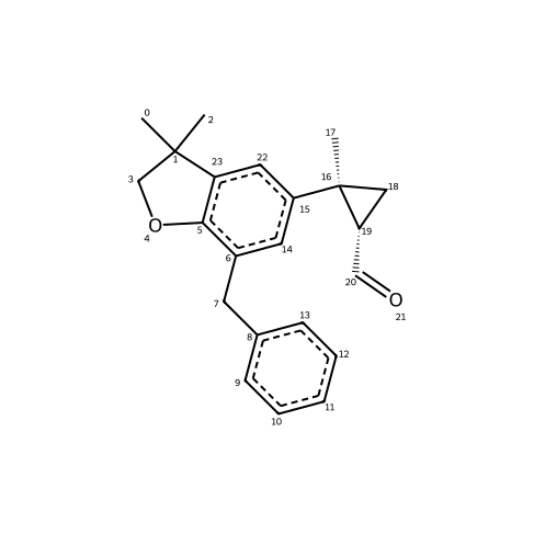 CC1(C)COc2c(Cc3ccccc3)cc([C@@]3(C)C[C@@H]3C=O)cc21